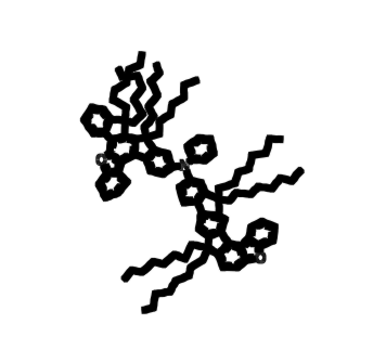 CCCCCCCCC1(CCCCCCCC)c2cc(N(c3ccccc3)c3ccc4c(c3)C(CCCCCCC)(CCCCCCC)c3c5c(c6oc7ccccc7c6c3-4)-c3ccccc3C5(CCCCCCC)CCCCCCC)ccc2-c2cc3c(cc21)-c1c(ccc2oc4ccccc4c12)C3(CCCCCCCC)CCCCCCCC